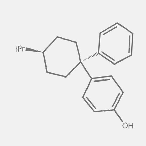 CC(C)[C@H]1CC[C@@](c2ccccc2)(c2ccc(O)cc2)CC1